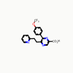 O=C(O)c1cnc(CCc2ccccn2)c(-c2ccc(OC(F)(F)F)cc2)n1